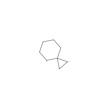 [CH]1CCCCC12[CH]C2